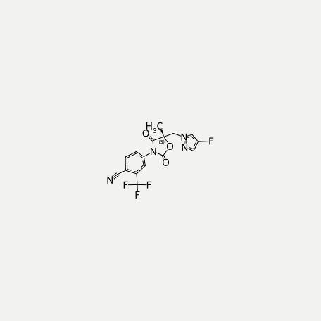 C[C@@]1(Cn2cc(F)cn2)OC(=O)N(c2ccc(C#N)c(C(F)(F)F)c2)C1=O